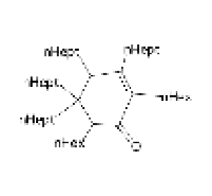 CCCCCCCC1=C(CCCCCC)C(=O)C(CCCCCC)C(CCCCCCC)(CCCCCCC)C1CCCCCCC